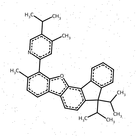 Cc1cc(-c2c(C)ccc3c2oc2c4c(ccc23)C(C(C)C)(C(C)C)c2ccccc2-4)ncc1C(C)C